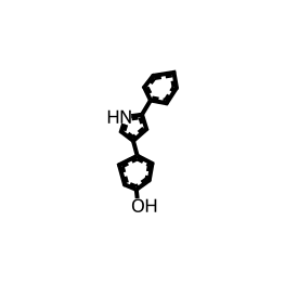 Oc1ccc(-c2c[nH]c(-c3ccccc3)c2)cc1